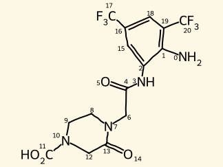 Nc1c(NC(=O)CN2CCN(C(=O)O)CC2=O)cc(C(F)(F)F)cc1C(F)(F)F